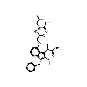 CCc1c(C(=O)C(N)=O)c2c(OCC(=O)N[C@@H](CC(C)C)C(=O)OC)cccc2n1Cc1ccccc1